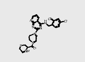 O=C(C1CSCCN1)N1CCN(c2nc(NCc3ccc(Cl)cc3Cl)c3cccnc3n2)CC1